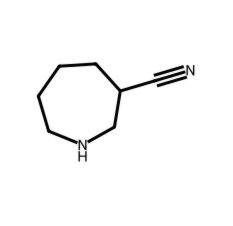 N#CC1CCCCNC1